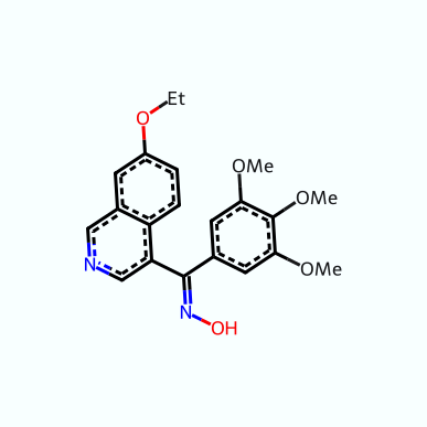 CCOc1ccc2c(/C(=N/O)c3cc(OC)c(OC)c(OC)c3)cncc2c1